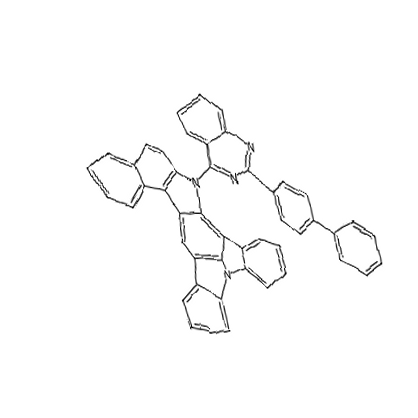 c1ccc(-c2ccc(-c3nc(-n4c5ccc6ccccc6c5c5cc6c7ccccc7n7c8ccccc8c(c54)c67)c4ccccc4n3)cc2)cc1